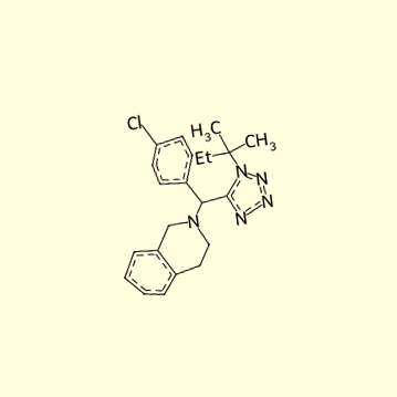 CCC(C)(C)n1nnnc1C(c1ccc(Cl)cc1)N1CCc2ccccc2C1